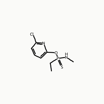 CCP(=S)(NC)Oc1cccc(Cl)n1